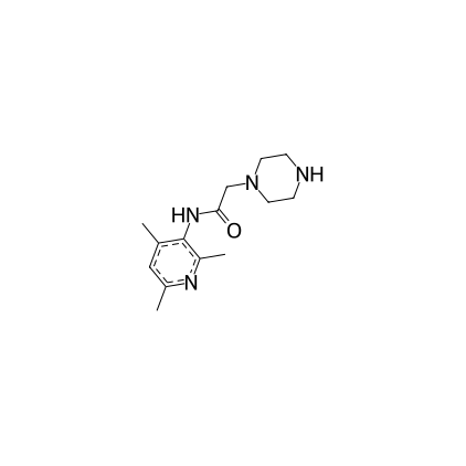 Cc1cc(C)c(NC(=O)CN2CCNCC2)c(C)n1